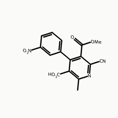 COC(=O)c1c(C#N)nc(C)c(C(=O)O)c1-c1cccc([N+](=O)[O-])c1